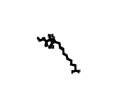 CCOC(=O)C1(N)C=C(C/C=C/CCCCCCC(F)F)C1O